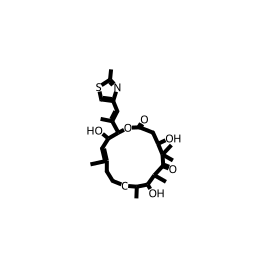 C/C1=C/C(O)C(/C(C)=C/c2csc(C)n2)OC(=O)CC(O)C(C)(C)C(=O)C(C)C(O)C(C)CCC1